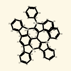 c1ccc(-n2c3c(c4ccccc42)-n2c4ccccc4c4cc5c6ccccc6n6c5c(c42)C3c2c-6n(-c3ccccc3)c3ccccc23)cc1